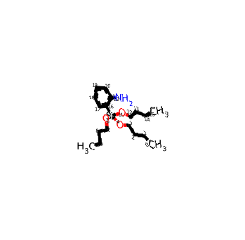 CCCCO[Si](OCCCC)(OCCCC)c1ccccc1N